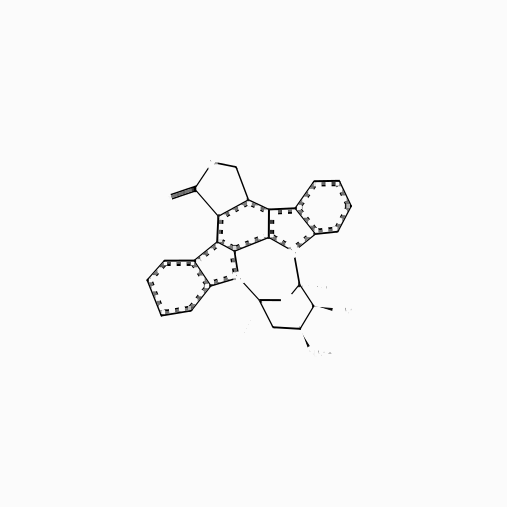 CN[C@H]1C[C@]2(C)O[C@](C)([C@H]1OC)n1c3ccccc3c3c4c(c5c6ccccc6n2c5c31)C(=O)NC4